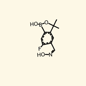 CC1(C)OB(O)c2cc(F)c(/C=N\O)cc21